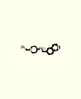 CC(C)CN1CCC(NCc2ccc3cnccc3c2)CC1